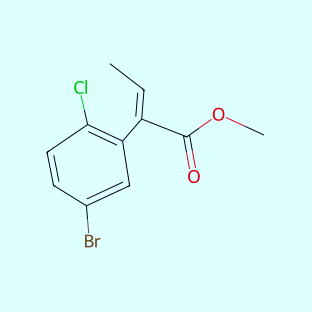 C/C=C(/C(=O)OC)c1cc(Br)ccc1Cl